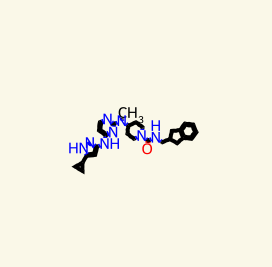 CN(c1nccc(Nc2cc(C3CC3)[nH]n2)n1)C1CCN(C(=O)NCC2Cc3ccccc3C2)CC1